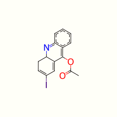 CC(=O)OC1=c2ccccc2=NC2CC=C(I)C=C12